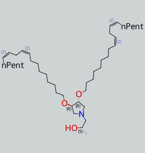 CCCCC/C=C\C/C=C\CCCCCCCCO[C@@H]1CN(C[C@H](C)O)C[C@H]1OCCCCCCCC/C=C\C/C=C\CCCCC